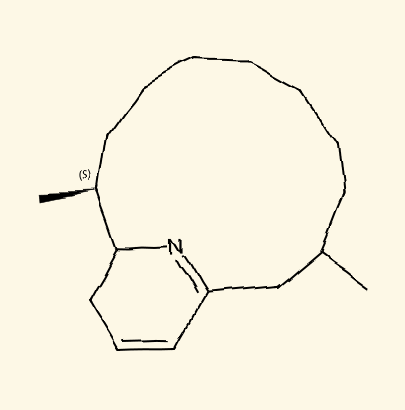 CC1CCCCCCC[C@H](C)C2CC=CC(=N2)C1